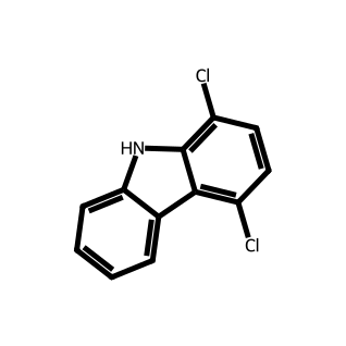 Clc1ccc(Cl)c2c1[nH]c1ccccc12